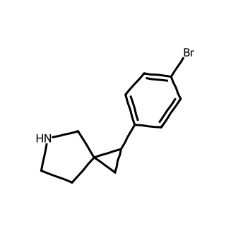 Brc1ccc(C2CC23CCNC3)cc1